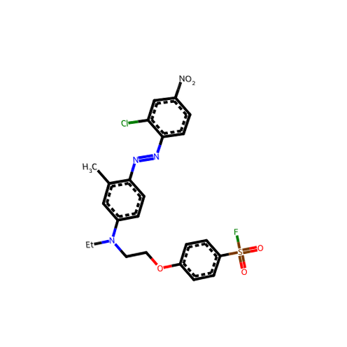 CCN(CCOc1ccc(S(=O)(=O)F)cc1)c1ccc(N=Nc2ccc([N+](=O)[O-])cc2Cl)c(C)c1